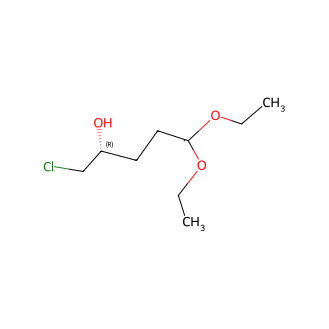 CCO[C](CC[C@@H](O)CCl)OCC